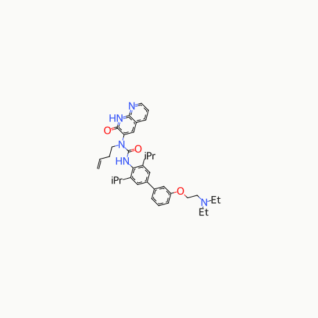 C=CCCN(C(=O)Nc1c(C(C)C)cc(-c2cccc(OCCN(CC)CC)c2)cc1C(C)C)c1cc2cccnc2[nH]c1=O